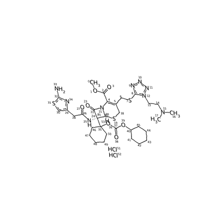 COC(=O)C1=C(CSc2nnnn2CCN(C)C)CS[C@@H]2N1C(=O)[C@]2(NC(=O)Cc1csc(N)n1)C1(OC(=O)OC2CCCCC2)CCCCC1.Cl.Cl